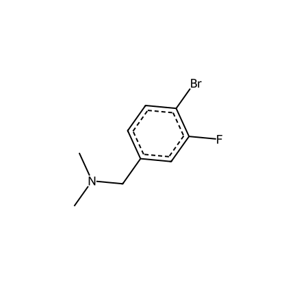 CN(C)Cc1ccc(Br)c(F)c1